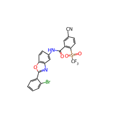 N#Cc1ccc(S(=O)(=O)C(F)(F)F)c(C(=O)Nc2ccc3oc(-c4ccccc4Br)nc3c2)c1